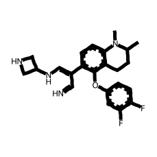 CC1CCc2c(ccc(/C(C=N)=C/NC3CNC3)c2Oc2ccc(F)c(F)c2)N1C